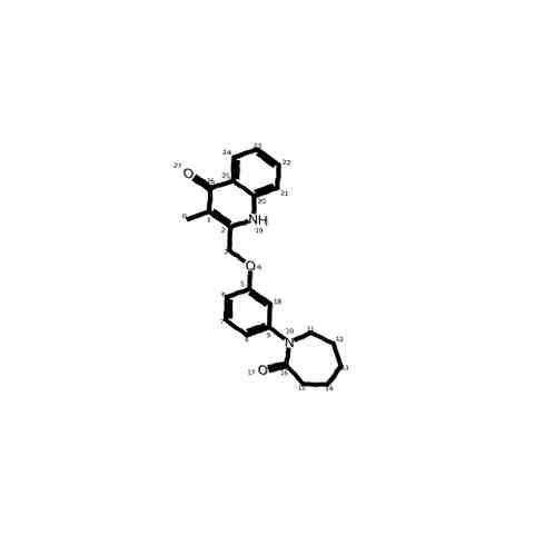 Cc1c(COc2cccc(N3CCCCCC3=O)c2)[nH]c2ccccc2c1=O